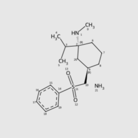 CN[C@]1(C(C)C)CCC[C@@H](CS(=O)(=O)c2ccccc2)C1.N